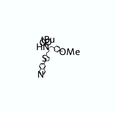 COc1ccc(C[C@@H](CCC2=CCC(c3ccc4cnccc4c3)S2)NC(=O)OC(C)(C)C)cc1